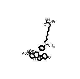 CC(=O)O[C@]1(C(C)=O)CC[C@H]2[C@@H]3CCC4=CC(=O)CCC4=C3[C@@H](c3ccc(N(C)CCCCCCCC[C@H](C(N)=O)C(C)C)cc3)C[C@@]21C